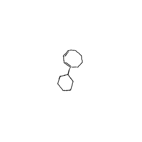 C1=CCCCCC(C2CCCCC2)=C1